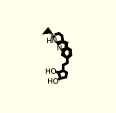 OC1CCC(CCc2ccc3cc4c(nc3c2)NN(C2CC2)CC4)C1O